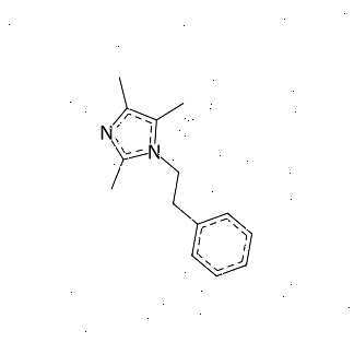 Cc1nc(C)n(CCc2ccccc2)c1C